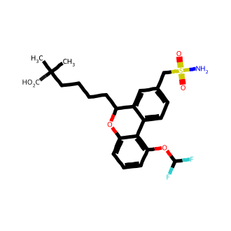 CC(C)(CCCCC1Oc2cccc(OC(F)F)c2-c2ccc(CS(N)(=O)=O)cc21)C(=O)O